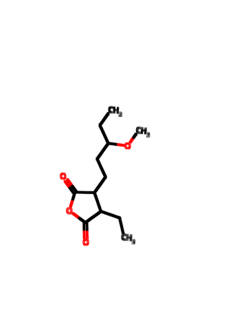 CCC(CCC1C(=O)OC(=O)C1CC)OC